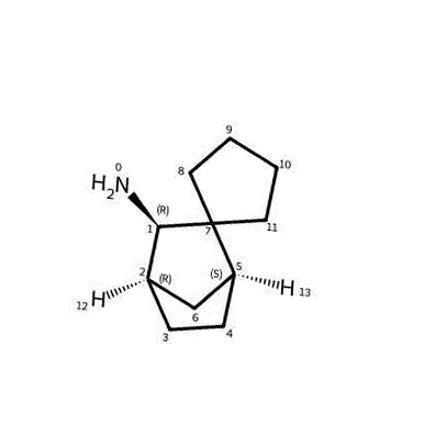 N[C@@H]1[C@@H]2CC[C@@H](C2)C12CCCC2